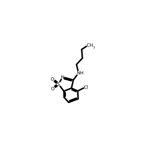 CCCCNC1=NS(=O)(=O)c2cccc(Cl)c21